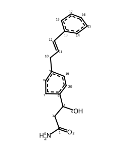 NC(=O)CC(O)c1ccc(CC=Cc2ccccc2)cc1